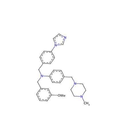 COc1cccc(CN(Cc2ccc(-n3ccnc3)cc2)c2ccc(CN3CCN(C)CC3)cc2)c1